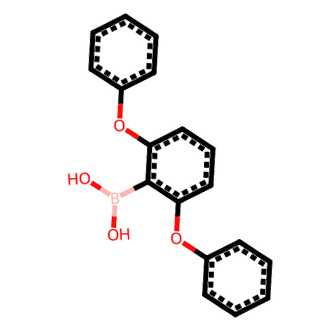 OB(O)c1c(Oc2ccccc2)cccc1Oc1ccccc1